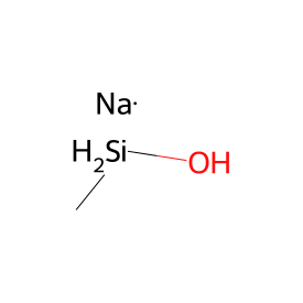 C[SiH2]O.[Na]